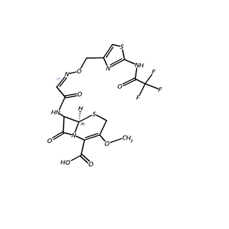 COC1=C(C(=O)O)N2C(=O)C(NC(=O)/C=N\OCc3csc(NC(=O)C(F)(F)F)n3)[C@H]2SC1